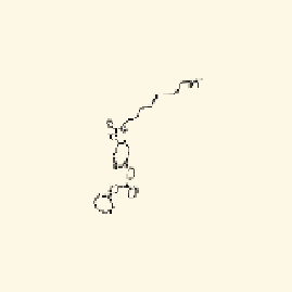 CC(C)CCCCCCCOC(=O)OC1CCC(OC(=O)OC2CCCCC2)CC1